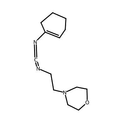 C(=NCCN1CCOCC1)=NC1=CCCCC1